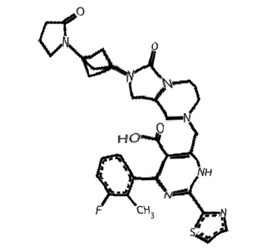 Cc1c(F)cccc1C1N=C(c2nccs2)NC(CN2CCN3C(=O)N(C45CC(N6CCCC6=O)(C4)C5)CC3C2)=C1C(=O)O